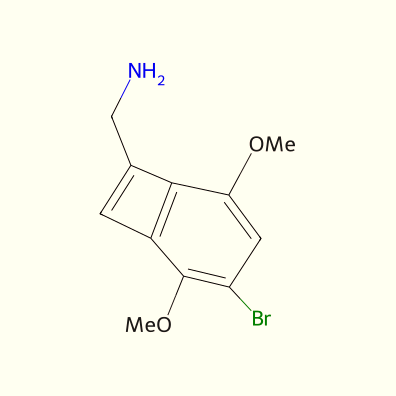 COc1cc(Br)c(OC)c2c1C(CN)=C2